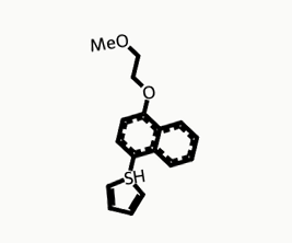 COCCOc1ccc([SH]2C=CC=C2)c2ccccc12